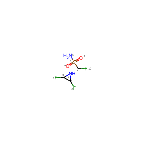 FC1NC1F.NS(=O)(=O)CF